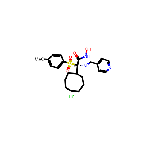 COc1ccc(S(=O)(=O)[C@@](NCc2ccncc2)(C(=O)NO)C2CCCCCCC2)cc1.Cl